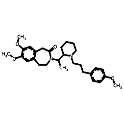 COc1ccc(CCCN2CCCCC2C(C)N2CCc3cc(OC)c(OC)cc3CC2=O)cc1